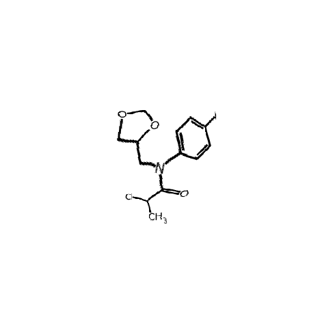 CC(Cl)C(=O)N(CC1COCO1)c1ccc(I)cc1